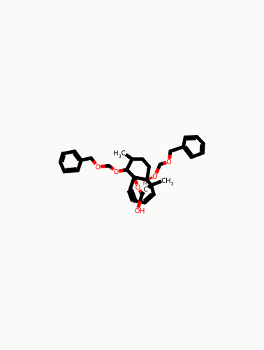 CC1CC[C@]2(OCOCc3ccccc3)C3(C)C=CC#CC2(OC(O)C3)C1OCOCc1ccccc1